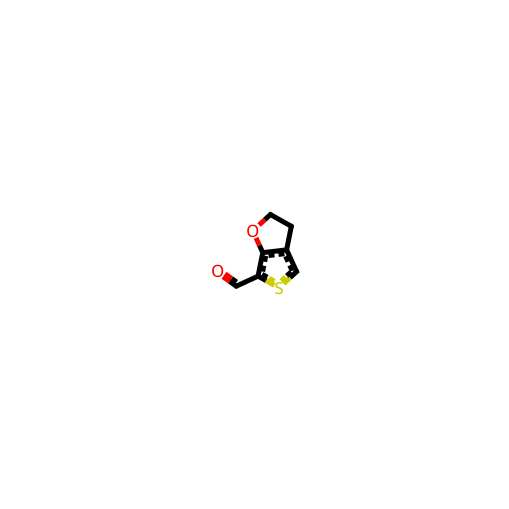 O=Cc1scc2c1OCC2